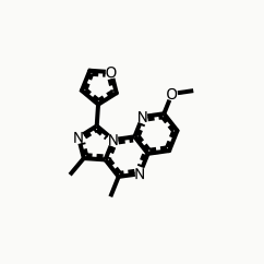 COc1ccc2nc(C)c3c(C)nc(-c4ccoc4)n3c2n1